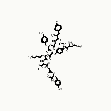 C[C@@H](O)[C@H](NC(=O)[C@H](CCCCN)NC(=O)[C@@H](Cc1ccc(NC(=O)[C@@H](N)CCC(=O)O)cc1)NC(=O)[C@H](Cc1ccc(O)cc1)NC(=O)[C@@H](CSS)NC(=O)[C@@H](N)Cc1ccc(Cl)cc1)C(=O)NCC(=O)N[C@H](Cc1ccc(O)cc1)C(N)=O